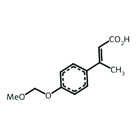 COCOc1ccc(C(C)=CC(=O)O)cc1